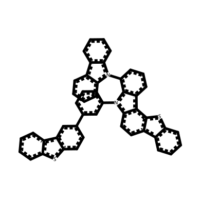 c1cc(-c2ccc3sc4ccccc4c3c2)cc(-n2c3ccc4c5ccccc5sc4c3c3cccc(-n4c5ccccc5c5ccccc54)c32)c1